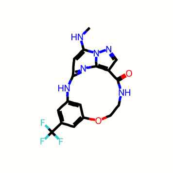 CNc1cc2nc3c(cnn13)C(=O)NCCOc1cc(cc(C(F)(F)F)c1)N2